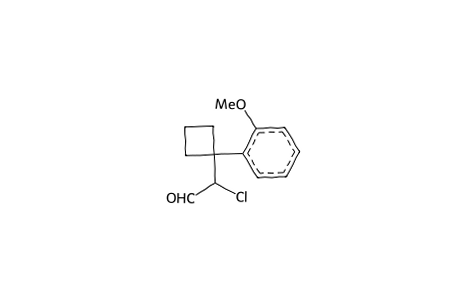 COc1ccccc1C1(C(Cl)C=O)CCC1